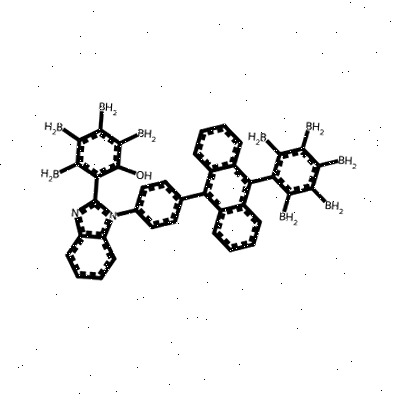 Bc1c(B)c(B)c(-c2c3ccccc3c(-c3ccc(-n4c(-c5c(B)c(B)c(B)c(B)c5O)nc5ccccc54)cc3)c3ccccc23)c(B)c1B